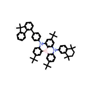 CC(C)(C)c1ccc2c(c1)B1c3cc(C(C)(C)C)ccc3N(c3ccc4c(c3)C(C)(C)CCC4(C)C)c3cc(C(C)(C)C)cc(c31)N2c1ccc(-c2cccc3c2-c2ccccc2C3(C)C)cc1